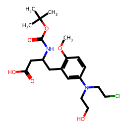 COc1ccc(N(CCO)CCCl)cc1CC(CC(=O)O)NC(=O)OC(C)(C)C